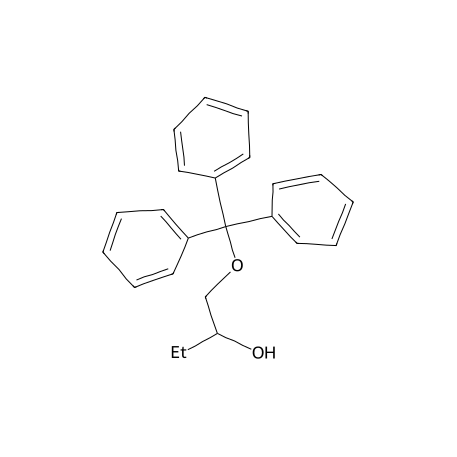 CCC(O)COC(c1ccccc1)(c1ccccc1)c1ccccc1